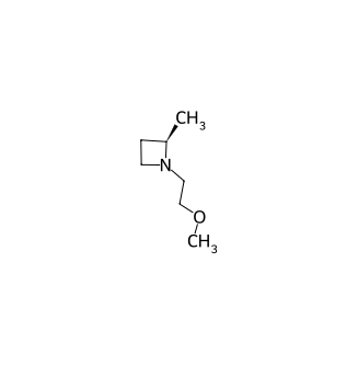 COCCN1CC[C@H]1C